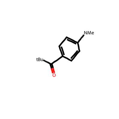 CNc1ccc(C(=O)C(C)(C)C)cc1